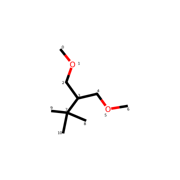 COCC(COC)C(C)(C)C